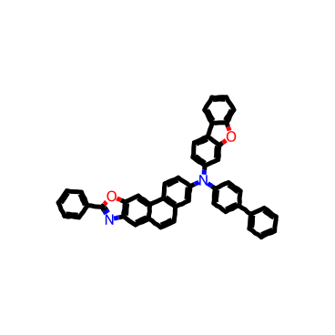 c1ccc(-c2ccc(N(c3ccc4c(ccc5cc6nc(-c7ccccc7)oc6cc54)c3)c3ccc4c(c3)oc3ccccc34)cc2)cc1